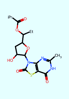 CCC(OC(=O)C(C)C)C1CC(O)C(n2c(=O)sc3c(=O)[nH]c(C)nc32)O1